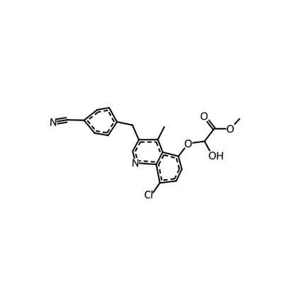 COC(=O)C(O)Oc1ccc(Cl)c2ncc(Cc3ccc(C#N)cc3)c(C)c12